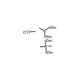 CCCCCCCCCCN(C)CCCCCCCCCC.CCCCCCCCCC[N+](C)(C)CCCCCCCCCC.CCl.[Cl-]